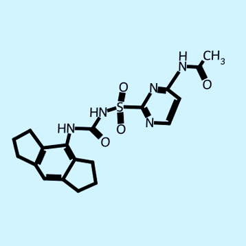 CC(=O)Nc1ccnc(S(=O)(=O)NC(=O)Nc2c3c(cc4c2CCC4)CCC3)n1